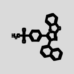 CS(=O)(=O)c1ccc(-c2c(-c3cccc4ccccc34)nc3oc4ccccc4n23)cc1